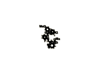 CO[C@H]1CC[C@](c2ccc(Cl)cc2)([C@H](N)C(=O)Nc2cccc(F)c2CC[C@H]2CN(C(=O)OC(C)(C)C)[C@@H]3CCCS(=O)(=O)N2C3)CC1